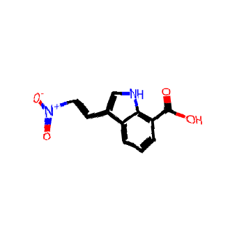 O=C(O)c1cccc2c(C=C[N+](=O)[O-])c[nH]c12